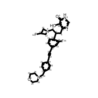 O=c1[nH]cnc(CC(CN2CC(F)C2)c2ccc(C#Cc3ccc(CN4CCOCC4)cc3)cc2F)c1O